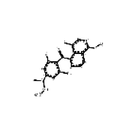 CCOc1ncc(C)c2c(C(=O)c3c(F)cc([C@H](C)NC(=O)O)cc3F)cccc12